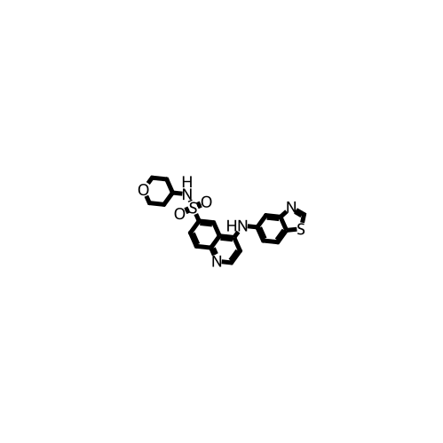 O=S(=O)(NC1CCOCC1)c1ccc2nccc(Nc3ccc4scnc4c3)c2c1